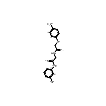 Cc1ccc(OCC(=O)NCC(=O)Nc2cccc(Br)c2)cc1